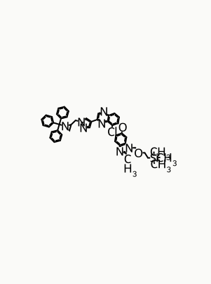 Cc1nc2ccc(Oc3ccc4ncc(-c5cnn(CC6CN6C(c6ccccc6)(c6ccccc6)c6ccccc6)c5)nc4c3Cl)cc2n1COCC[Si](C)(C)C